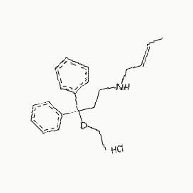 C/C=C/CNCCC(OCC)(c1ccccc1)c1ccccc1.Cl